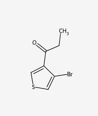 CCC(=O)c1cscc1Br